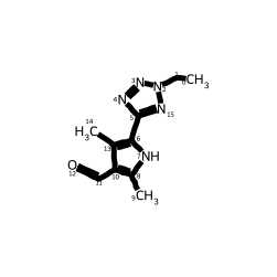 CCn1nnc(-c2[nH]c(C)c(C=O)c2C)n1